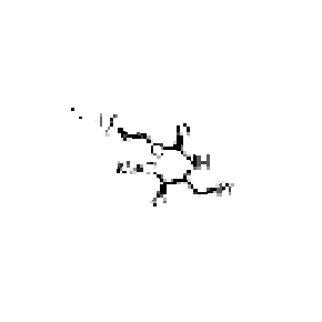 C=CCOC(=O)NC(CC(C)C)C(=O)OC